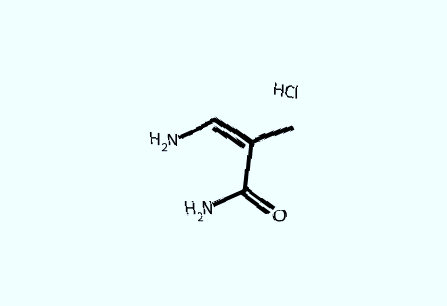 CC(=CN)C(N)=O.Cl